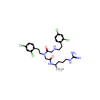 N=C(N)NCCCC(NC(=O)CN(CCc1ccc(Cl)cc1Cl)C(=O)CNCCc1ccc(Cl)cc1Cl)C(=O)O